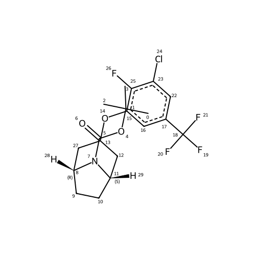 CC(C)(C)OC(=O)N1[C@@H]2CC[C@H]1CC(Oc1cc(C(F)(F)F)cc(Cl)c1F)C2